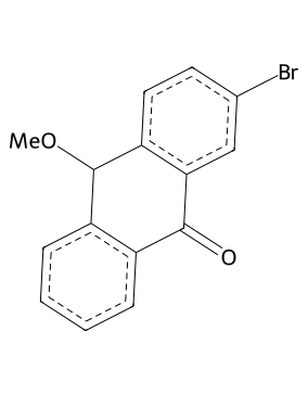 COC1c2ccccc2C(=O)c2cc(Br)ccc21